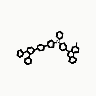 Cc1ccc2c(c1)c(-c1ccc(N(c3ccccc3)c3ccc(-c4ccc(-c5ccc(-c6ccccc6)c(-c6ccccc6)c5)cc4)cc3)cc1)cc1ccccc12